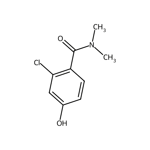 CN(C)C(=O)c1ccc(O)cc1Cl